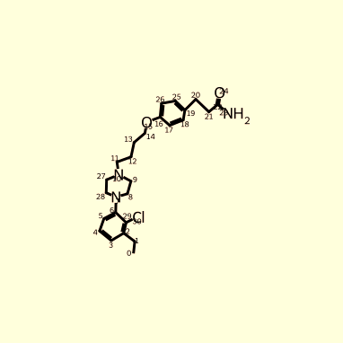 CCc1cccc(N2CCN(CCCCOc3ccc(CCC(N)=O)cc3)CC2)c1Cl